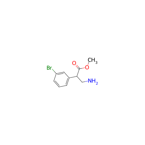 COC(=O)C(CN)c1cccc(Br)c1